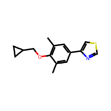 Cc1cc(-c2cscn2)cc(C)c1OCC1CC1